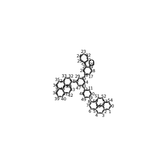 c1cc2ccc3ccc(-c4ccc(-c5cc(-c6ccc7oc8ccccc8c7c6)cc(-c6ccc7ccc8cccc9ccc6c7c89)c5)cc4)c4ccc(c1)c2c34